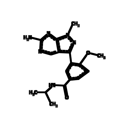 COc1ccc(C(=O)NC(C)C)cc1-c1nn(C)c2nc(N)ncc12